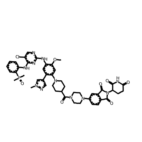 COc1cc(N2CCC(C(=O)N3CCN(c4ccc5c(c4)C(=O)N(C4CCC(=O)NC4=O)C5=O)CC3)CC2)c(-c2cnn(C)c2)cc1Nc1ncc(Cl)c(Nc2ccccc2P(C)(C)=O)n1